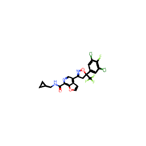 O=C(NCC1CC1)c1ncc(C2=NOC(c3cc(Cl)c(F)c(Cl)c3)(C(F)(F)F)C2)c2ccoc12